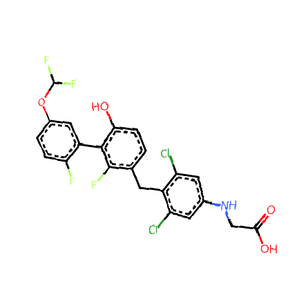 O=C(O)CNc1cc(Cl)c(Cc2ccc(O)c(-c3cc(OC(F)F)ccc3F)c2F)c(Cl)c1